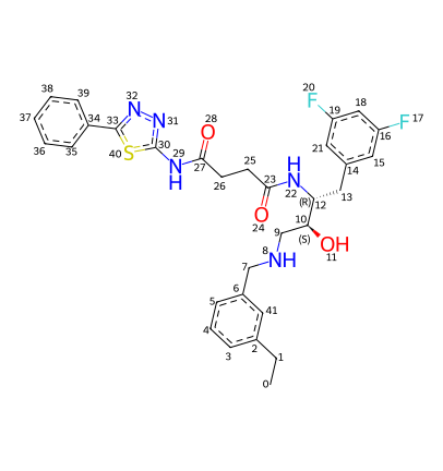 CCc1cccc(CNC[C@H](O)[C@@H](Cc2cc(F)cc(F)c2)NC(=O)CCC(=O)Nc2nnc(-c3ccccc3)s2)c1